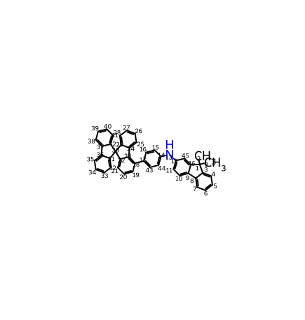 CC1(C)c2ccccc2-c2ccc(Nc3ccc(-c4cccc5c4-c4ccccc4C54c5ccccc5-c5ccccc54)cc3)cc21